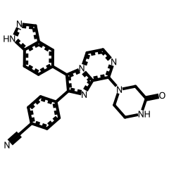 N#Cc1ccc(-c2nc3c(N4CCNC(=O)C4)nccn3c2-c2ccc3[nH]ncc3c2)cc1